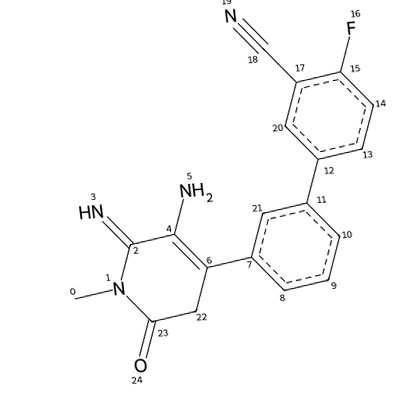 CN1C(=N)C(N)=C(c2cccc(-c3ccc(F)c(C#N)c3)c2)CC1=O